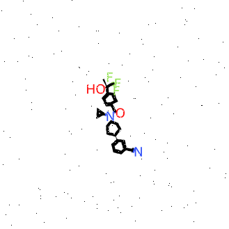 C[C@](O)(c1ccc(C(=O)N(C2CC2)[C@H]2CC[C@@H](c3cccc(C#N)c3)CC2)cc1)C(F)(F)F